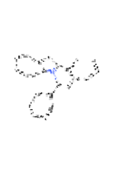 c1ccc(-c2cc3ccccc3c3cc4ccccc4n23)cc1